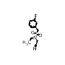 CCN(CC#N)S(=O)(=O)Cc1cccc(F)c1